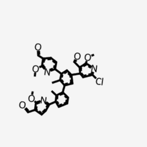 COc1nc(-c2cccc(-c3cc(-c4cc(Cl)nc(OC)c4C=O)cc(-c4ccc(C=O)c(OC)n4)c3C)c2C)ccc1C=O